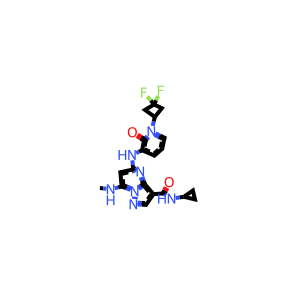 CNc1cc(Nc2cccn(C3CC(F)(F)C3)c2=O)nc2c(C(=O)NC3CC3)cnn12